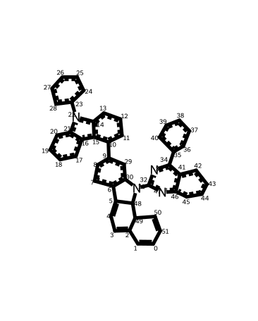 C1=CC2=CC=C3c4ccc(-c5cccc6c5c5ccccc5n6-c5ccccc5)cc4N(c4nc(-c5ccccc5)c5ccccc5n4)C3C2C=C1